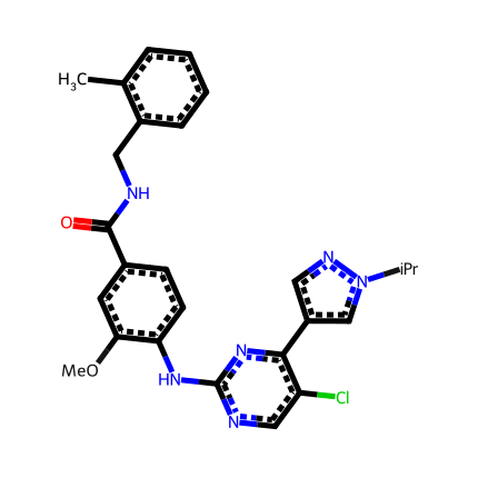 COc1cc(C(=O)NCc2ccccc2C)ccc1Nc1ncc(Cl)c(-c2cnn(C(C)C)c2)n1